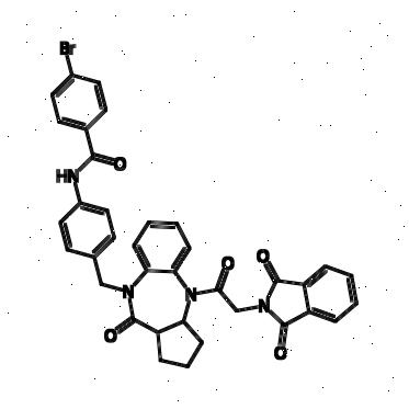 O=C(Nc1ccc(CN2C(=O)C3CCCC3N(C(=O)CN3C(=O)c4ccccc4C3=O)c3ccccc32)cc1)c1ccc(Br)cc1